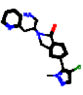 Cn1ncc(Cl)c1-c1ccc2c(c1)CN([C@H](CN)Cc1ccccn1)C2=O